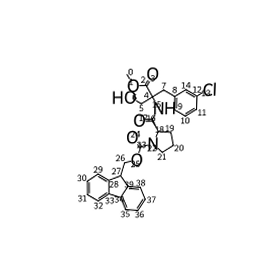 COC(=O)C(CO)(Cc1cccc(Cl)c1)NC(=O)[C@H]1CCCN1C(=O)OCC1c2ccccc2-c2ccccc21